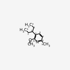 CCC(CC)c1ccc(C)nc1OC